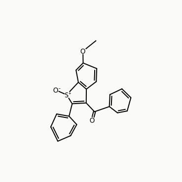 COc1ccc2c(C(=O)c3ccccc3)c(-c3ccccc3)[s+]([O-])c2c1